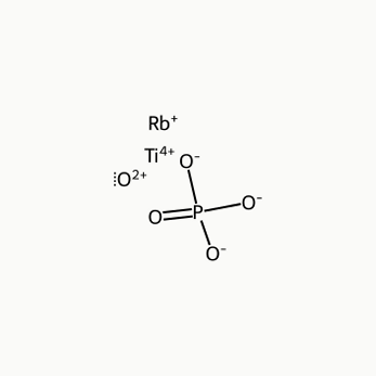 O=P([O-])([O-])[O-].[O+2].[Rb+].[Ti+4]